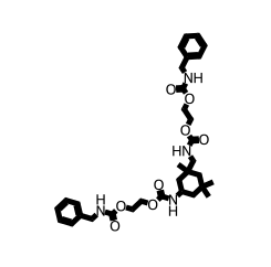 CC1(C)CC(NC(=O)OCCOC(=O)NCc2ccccc2)CC(C)(CNC(=O)OCCOC(=O)NCc2ccccc2)C1